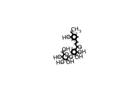 CCc1ccc(/C=C/C(=O)c2ccc(O[C@@H]3OC(CO)[C@@H](O)C(O)[C@@H]3O)c(O)c2O)cc1O